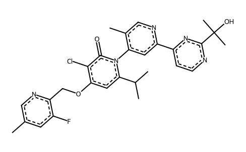 Cc1cnc(COc2cc(C(C)C)n(-c3cc(-c4ccnc(C(C)(C)O)n4)ncc3C)c(=O)c2Cl)c(F)c1